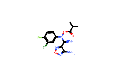 CC(C)C(=O)ON(C(=N)c1nonc1N)c1ccc(F)c(Cl)c1